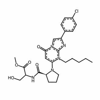 CCCCCn1c(N2CCC[C@H]2C(=O)NC(CO)C(=O)OC)cc(=O)n2cc(-c3ccc(Cl)cc3)nc12